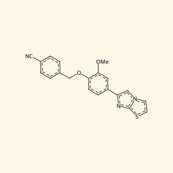 COc1cc(-c2cn3ccsc3n2)ccc1OCc1ccc(C#N)cc1